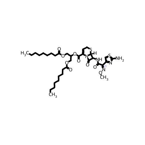 CCCCCCCCC(=O)OCC(COC(=O)CCCCCCCC)OC(=O)C1=CCS[C@@H]2C(NC(=O)/C(=N\OC)c3csc(N)n3)C(=O)N12